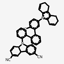 N#CC1=CC2c3cc(C#N)ccc3N(c3ccccc3-c3ccccc3-c3cc(-n4c5c(c6c4C=CCC6)CCC=C5)ccc3C#N)C2C=C1